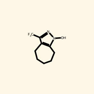 On1nc(C(F)(F)F)c2c1CCCCC2